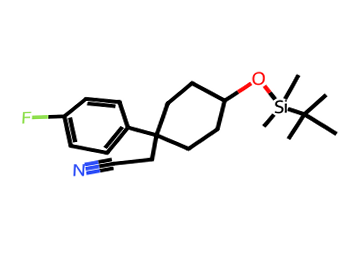 CC(C)(C)[Si](C)(C)OC1CCC(CC#N)(c2ccc(F)cc2)CC1